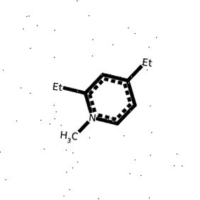 CCc1cc[n+](C)c(CC)c1